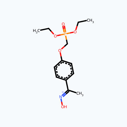 CCOP(=O)(COc1ccc(/C(C)=N/O)cc1)OCC